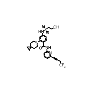 O=C(Nc1cccc(C#CCC(F)(F)F)n1)c1ccc(NS(=O)(=O)CCO)cc1N1CCC2(CC1)CC2